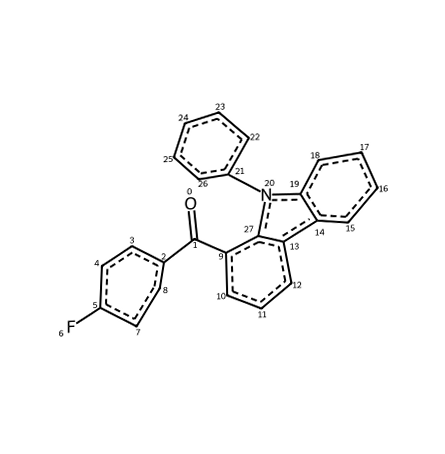 O=C(c1ccc(F)cc1)c1cccc2c3ccccc3n(-c3ccccc3)c12